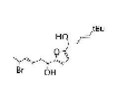 CC(Br)/C=C/CC(O)c1ccc(C(O)C/C=C/C(C)(C)C)o1